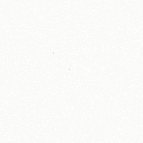 Cc1ccc(-c2ccc(CNC(=O)c3cncc(NC(=O)c4ccccc4-c4ccc(C(F)(F)F)cc4)c3)cc2)cc1